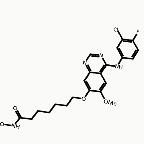 COc1cc2c(Nc3ccc(F)c(Cl)c3)ncnc2cc1OCCCCCCC(=O)NO